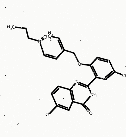 C=[N+](/C=C\C(=C/C)COc1ccc(Cl)cc1-c1nc2ccc(Cl)cc2c(=O)[nH]1)CCC